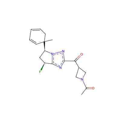 CC(=O)N1CC(C(=O)c2nc3n(n2)[C@H](C2(C)C=CC=CC2)C[C@@H]3F)C1